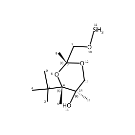 CC(C)(C)[C@]1(C)O[C@](C)(CO[SiH3])OC[C@@]1(C)O